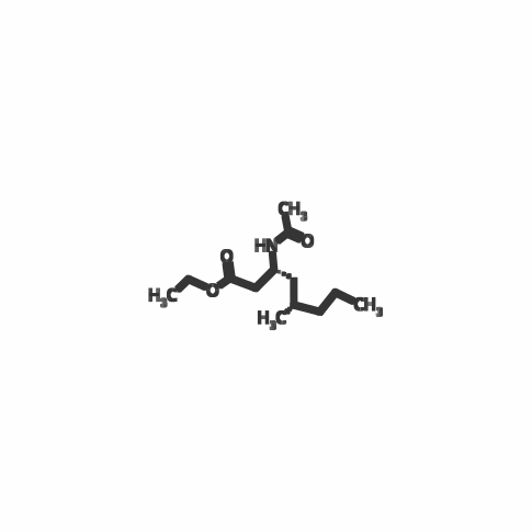 CCC[C@H](C)C[C@H](CC(=O)OCC)NC(C)=O